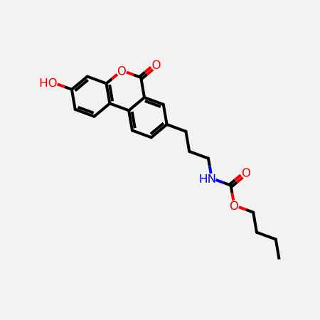 CCCCOC(=O)NCCCc1ccc2c(c1)c(=O)oc1cc(O)ccc12